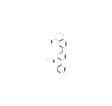 COC(=O)c1nc(-c2ccc3c(c2)N(C(=O)O)CCC3)ccc1-c1ccccc1